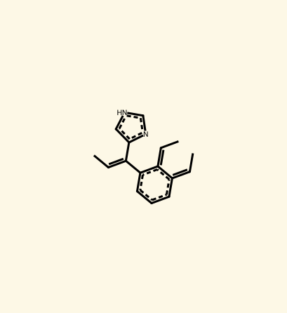 C/C=C(\c1c[nH]cn1)c1cccc(=C/C)/c1=C\C